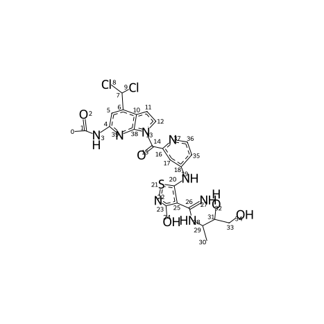 CC(=O)Nc1cc(C(Cl)Cl)c2ccn(C(=O)c3cc(Nc4snc(O)c4C(=N)NC(C)C(O)CO)ccn3)c2n1